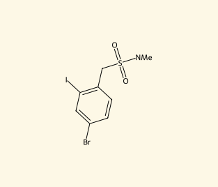 CNS(=O)(=O)Cc1ccc(Br)cc1I